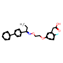 CC/C(=N\OCCOc1ccc(F)c(CC(=O)O)c1)c1ccc(-c2ccccc2)cc1